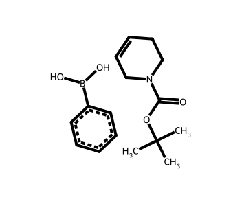 CC(C)(C)OC(=O)N1CC=CCC1.OB(O)c1ccccc1